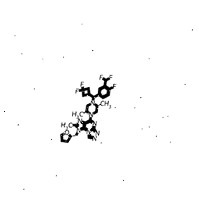 Cc1nc2c(N3C[C@@H](C)N(C(c4ccc(F)c(C(F)F)c4)C4CC(F)(F)C4)C[C@@H]3C)nc3nncn3c2n1C[C@@H]1CCCO1